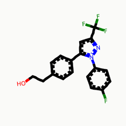 OCCc1ccc(-c2cc(C(F)(F)F)nn2-c2ccc(F)cc2)cc1